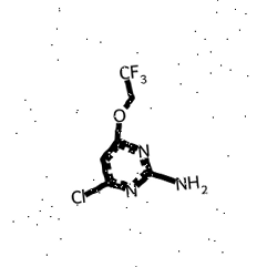 Nc1nc(Cl)cc(OCC(F)(F)F)n1